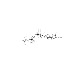 CCCCCCC(C)(CCC)C1CC(=O)N(CCC(=O)NC(C)(C)CCOC(C)(S)CCC(=O)C(C)C)C1=O